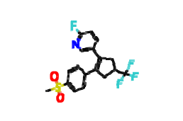 CS(=O)(=O)c1ccc(C2=C(c3ccc(F)nc3)CC(C(F)(F)F)C2)cc1